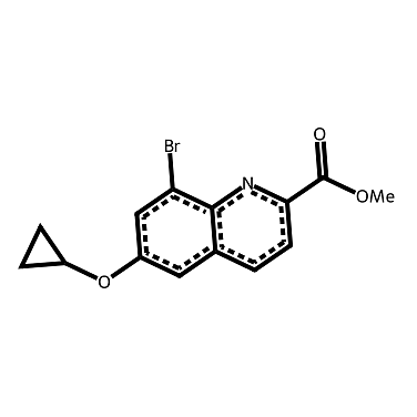 COC(=O)c1ccc2cc(OC3CC3)cc(Br)c2n1